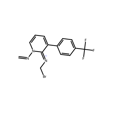 C=Nn1cccc(-c2ccc(C(F)(F)F)cc2)/c1=N/CBr